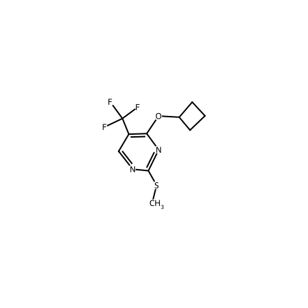 CSc1ncc(C(F)(F)F)c(OC2CCC2)n1